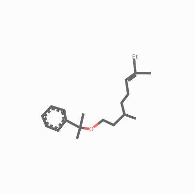 CCC(C)=CCCC(C)CCOC(C)(C)c1ccccc1